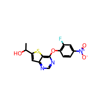 CC(O)c1cc2ncnc(Oc3ccc([N+](=O)[O-])cc3F)c2s1